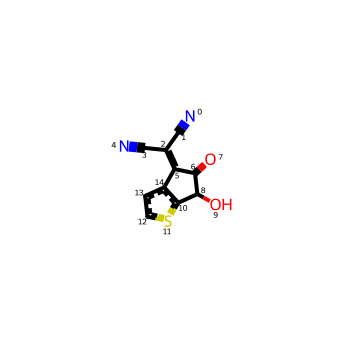 N#CC(C#N)=C1C(=O)C(O)c2sccc21